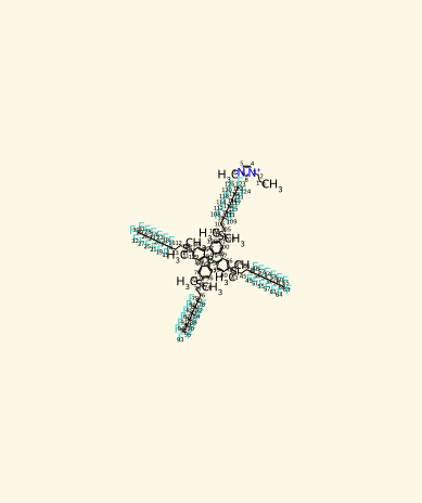 CCC[n+]1ccn(C)c1.C[Si](C)(CCC(F)(F)C(F)(F)C(F)(F)C(F)(F)C(F)(F)C(F)(F)F)c1ccc([B-](c2ccc([Si](C)(C)CCC(F)(F)C(F)(F)C(F)(F)C(F)(F)C(F)(F)C(F)(F)F)cc2)(c2ccc([Si](C)(C)CCC(F)(F)C(F)(F)C(F)(F)C(F)(F)C(F)(F)C(F)(F)F)cc2)c2ccc([Si](C)(C)CCC(F)(F)C(F)(F)C(F)(F)C(F)(F)C(F)(F)C(F)(F)F)cc2)cc1